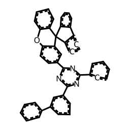 c1ccc(-c2cccc(-c3nc(-c4ccccc4)nc(-c4ccc5c(c4)C4(c6ccccc6O5)c5ccccc5-c5ccccc54)n3)c2)cc1